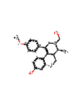 CCC1C(c2ccc(O)cc2)=C(c2ccc(OC)cc2)CC(CO)C1C